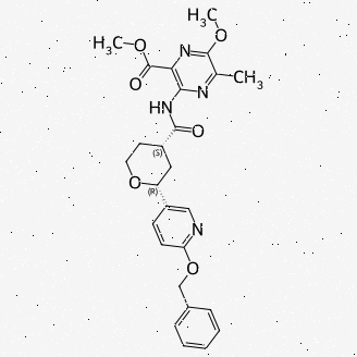 COC(=O)c1nc(OC)c(C)nc1NC(=O)[C@H]1CCO[C@@H](c2ccc(OCc3ccccc3)nc2)C1